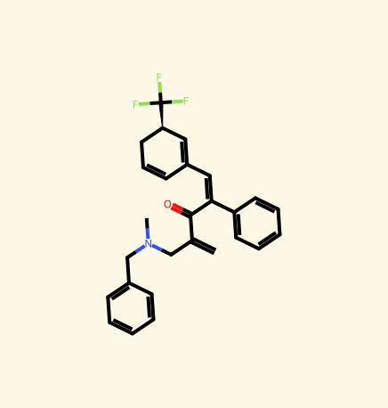 C=C(CN(C)Cc1ccccc1)C(=O)/C(=C\C1=C[C@H](C(F)(F)F)CC=C1)c1ccccc1